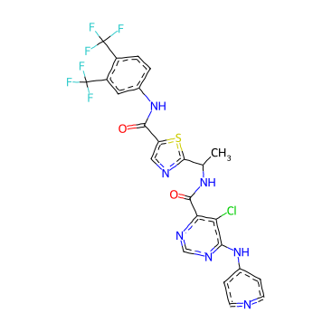 CC(NC(=O)c1ncnc(Nc2ccncc2)c1Cl)c1ncc(C(=O)Nc2ccc(C(F)(F)F)c(C(F)(F)F)c2)s1